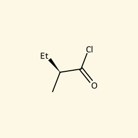 CC[C@H](C)C(=O)Cl